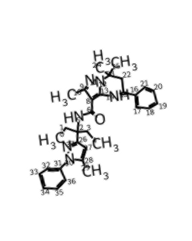 CCC(CC)(NC(=O)c1c(C)nn2c1NC(c1ccccc1)CC2(C)C)c1cc(C)n(-c2ccccc2)n1